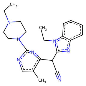 CCN1CCN(c2ncc(C)c(C(C#N)c3nc4ccccc4n3CC)n2)CC1